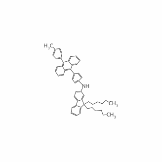 CCCCCCC1(CCCCCC)c2ccccc2-c2ccc(Nc3ccc(-c4c5ccccc5c(-c5ccc(C)cc5)c5ccccc45)cc3)cc21